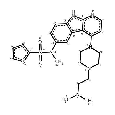 CN(C)CCN1CCN(c2ccnc3[nH]c4ccc(N(C)S(=O)(=O)c5cccs5)cc4c23)CC1